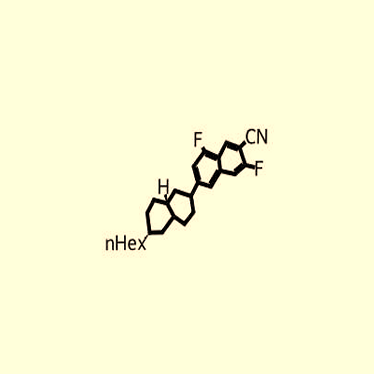 CCCCCC[C@@H]1CC[C@@H]2CC(c3cc(F)c4cc(C#N)c(F)cc4c3)CCC2C1